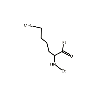 CCNC(CCCCNC)C(=O)CC